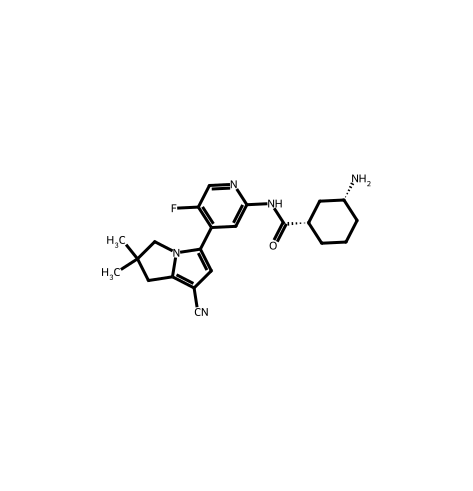 CC1(C)Cc2c(C#N)cc(-c3cc(NC(=O)[C@H]4CCC[C@@H](N)C4)ncc3F)n2C1